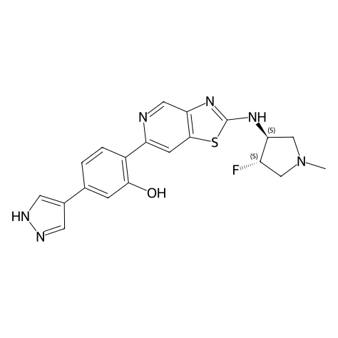 CN1C[C@H](Nc2nc3cnc(-c4ccc(-c5cn[nH]c5)cc4O)cc3s2)[C@@H](F)C1